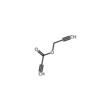 C#CCOC(=O)C#C